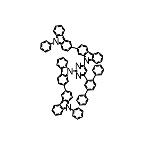 c1ccc(-c2ccc(-c3ccccc3)c(-c3cc(-n4c5ccccc5c5ccc(-c6ccc7c(c6)c6ccccc6n7-c6ccccc6)cc54)nc(-n4c5ccccc5c5ccc(-c6ccc7c(c6)c6ccccc6n7-c6ccccc6)cc54)n3)c2)cc1